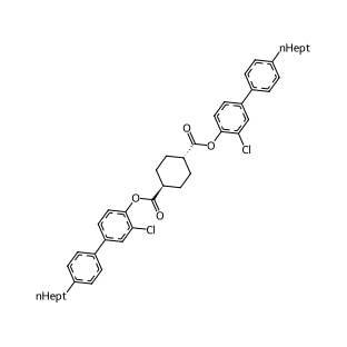 CCCCCCCc1ccc(-c2ccc(OC(=O)[C@H]3CC[C@H](C(=O)Oc4ccc(-c5ccc(CCCCCCC)cc5)cc4Cl)CC3)c(Cl)c2)cc1